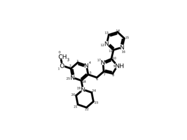 COc1cnc(Cc2c[nH]c(-c3ncccn3)n2)c(N2CCCCC2)n1